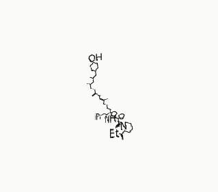 C=C(C/C=C(\C)CCCC[C@@H](OCC(=O)C(=C)N1CCCCC1C(=C)CC)[C@@H](N)CC(C)C)CC[C@@H](C)C/C(C)=C/C1CCC(O)CC1